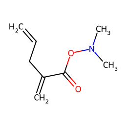 C=CCC(=C)C(=O)ON(C)C